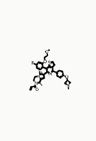 C=CC(=O)N1CCn2nc(-c3nc(-c4ccc(OC5CN(C)C5)cc4)c4ccsc4c3-c3c(F)cc(F)cc3OCCOC)cc2[C@H]1C